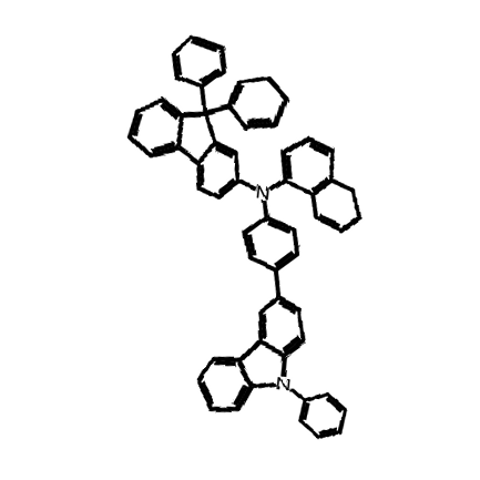 C1=CC(C2(c3ccccc3)c3ccccc3-c3ccc(N(c4ccc(-c5ccc6c(c5)c5ccccc5n6-c5ccccc5)cc4)c4cccc5c4C=CCC5)cc32)=CCC1